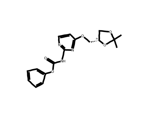 CC1(C)OC[C@@H](COc2ccnc(NC(=O)Oc3ccccc3)n2)O1